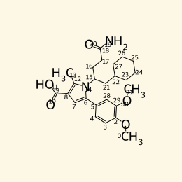 COc1ccc(-c2cc(C(=O)O)c(C)n2C(CCC(N)=O)CC2CCCCC2)cc1OC